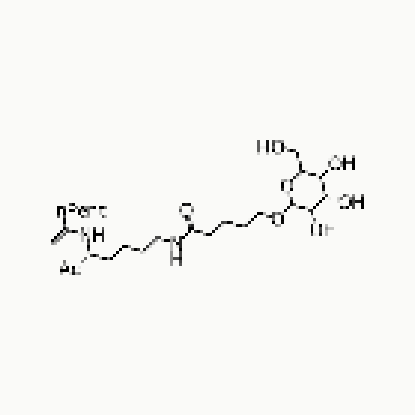 C=C(CCCCC)N[C@H](CCCCNC(=O)CCCCOC1OC(CO)C(O)[C@H](O)C1O)C(C)=O